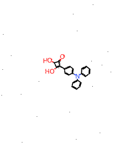 O=C1C(c2ccc(N(c3ccccc3)c3ccccc3)cc2)=C(O)C1O